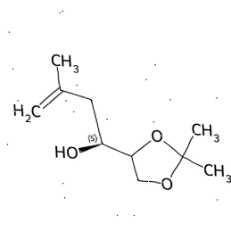 C=C(C)C[C@H](O)C1COC(C)(C)O1